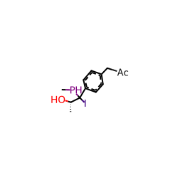 CPC(I)(c1ccc(CC(C)=O)cc1)[C@H](C)O